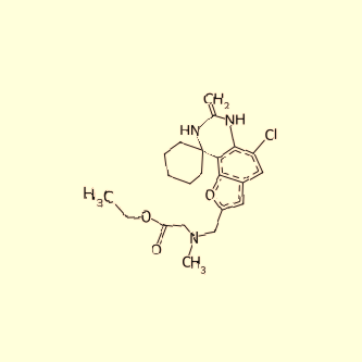 C=C1Nc2c(Cl)cc3cc(CN(C)CC(=O)OCC)oc3c2C2(CCCCC2)N1